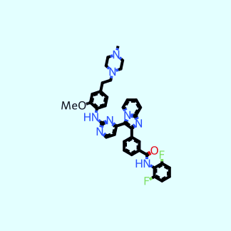 COc1cc(CCN2CCN(C)CC2)ccc1Nc1nccc(-c2c(-c3cccc(C(=O)Nc4c(F)cccc4F)c3)nc3ccccn23)n1